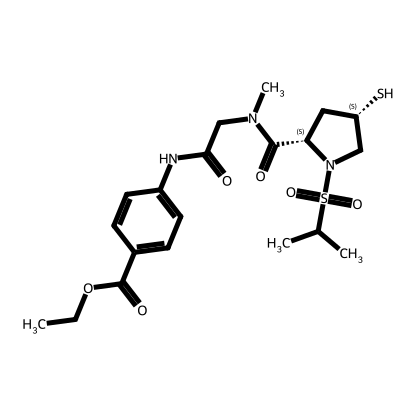 CCOC(=O)c1ccc(NC(=O)CN(C)C(=O)[C@@H]2C[C@H](S)CN2S(=O)(=O)C(C)C)cc1